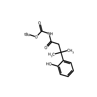 CC(C)(C)OC(=O)NC(=O)CC(C)(C)c1ccccc1O